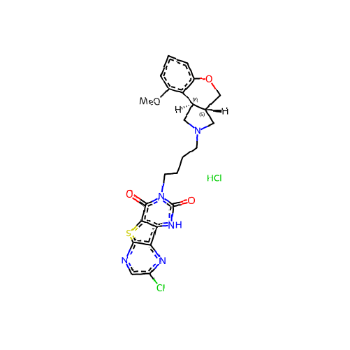 COc1cccc2c1[C@@H]1CN(CCCCn3c(=O)[nH]c4c(sc5ncc(Cl)nc54)c3=O)C[C@H]1CO2.Cl